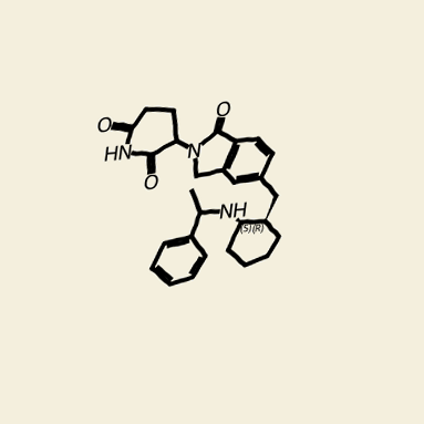 CC(N[C@H]1CCCC[C@@H]1Cc1ccc2c(c1)CN(C1CCC(=O)NC1=O)C2=O)c1ccccc1